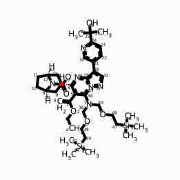 C=C(OCC)c1c([C@@H]2C[C@H]3CC[C@@H](C2)N3C(=O)O)nc2c(-c3ccc(C(C)(C)O)nc3)cnn2c1N(COCC[Si](C)(C)C)COCC[Si](C)(C)C